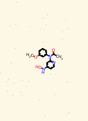 COc1cccc(N(C(C)=O)c2cc(NO)ccn2)c1